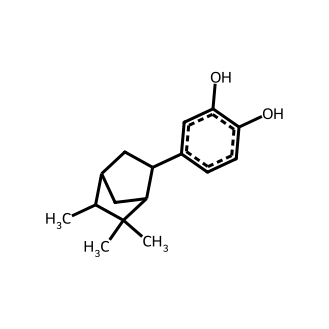 CC1C2CC(c3ccc(O)c(O)c3)C(C2)C1(C)C